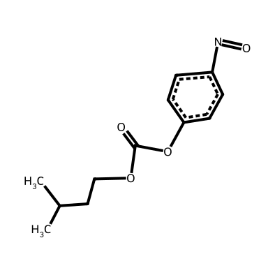 CC(C)CCOC(=O)Oc1ccc(N=O)cc1